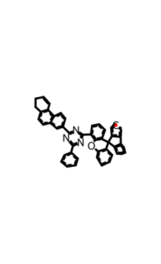 C1=Cc2c(ccc3cc(-c4nc(-c5ccccc5)nc(-c5cccc6c5Oc5ccccc5C65c6ccccc6-c6ccccc65)n4)ccc23)CC1